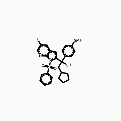 CSc1ccc(C(O)(CC2CCCC2)c2cc3cc(F)cnc3n2S(=O)(=O)c2ccccc2)cc1